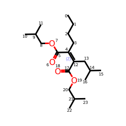 CCCC/C(C(=O)OCC(C)C)=C(\CC(C)C)C(=O)OCC(C)C